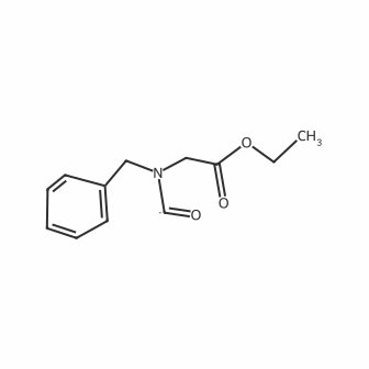 CCOC(=O)CN([C]=O)Cc1ccccc1